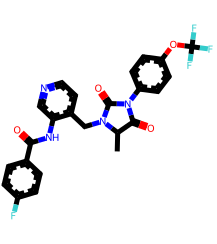 CC1C(=O)N(c2ccc(OC(F)(F)F)cc2)C(=O)N1Cc1ccncc1NC(=O)c1ccc(F)cc1